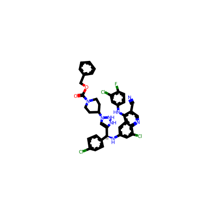 N#Cc1cnc2c(Cl)cc(N[C@H](C3=CN(C4CCN(C(=O)OCc5ccccc5)CC4)NN3)c3ccc(Cl)cc3)cc2c1Nc1ccc(F)c(Cl)c1